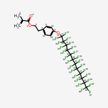 C=C(C)C(=O)OCCc1ccc(OC(F)(F)C(F)(F)C(F)(F)C(F)(F)C(F)(F)C(F)(F)C(F)(F)C(F)(F)C(F)(F)C(F)(F)C(F)(F)C(F)(F)F)cc1